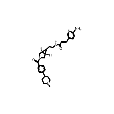 CN1CCC(c2ccc(C(=O)N3C[C@@H]4C(CCNC(=O)/C=C/c5ccc(N)nc5)[C@@H]4C3)cc2)CC1